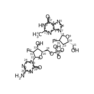 Cc1nc2c(ncn2[C@@H]2O[C@H](CO)[C@H](OP(=O)(O)OC[C@H]3O[C@@H](n4cnc(N)nc4=O)C(F)[C@H]3O)C2F)c(=O)[nH]1